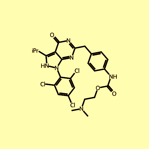 CC(C)c1[nH]n(-c2c(Cl)cc(Cl)cc2Cl)c2nc(Cc3ccc(NC(=O)OCCN(C)C)cc3)nc(=O)c1-2